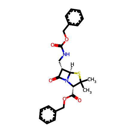 CC1(C)S[C@@H]2[C@@H](CNC(=O)OCc3ccccc3)C(=O)N2[C@H]1C(=O)OCc1ccccc1